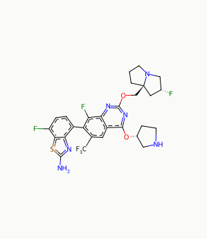 Nc1nc2c(-c3c(C(F)(F)F)cc4c(O[C@@H]5CCNC5)nc(OC[C@@]56CCCN5C[C@H](F)C6)nc4c3F)ccc(F)c2s1